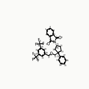 O=C1c2ccccc2C(=O)N1[C@@H]1CC[C@](COCc2cc(C(F)(F)F)cc(C(F)(F)F)c2)(c2ccccc2)C1